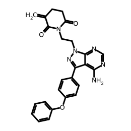 C=C1CCC(=O)N(CCn2nc(-c3ccc(Oc4ccccc4)cc3)c3c(N)ncnc32)C1=O